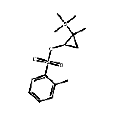 Cc1ccccc1S(=O)(=O)OC1CC1(C)[Si](C)(C)C